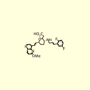 COc1ccc2nccc(C=C[C@@H]3CC[C@@H](NCC=Cc4cc(F)ccc4F)C(CC(=O)O)O3)c2n1